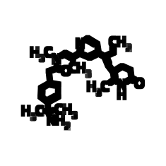 C=C/C(=C\C1=C(C)NC(=O)CC1)c1ccnc(/C(C)=C/N(C)C(=O)Cc2ccc(C(C)(C)N)cc2)c1